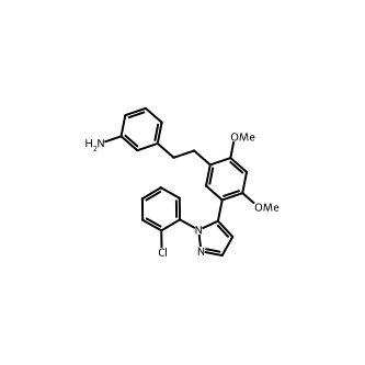 COc1cc(OC)c(-c2ccnn2-c2ccccc2Cl)cc1CCc1cccc(N)c1